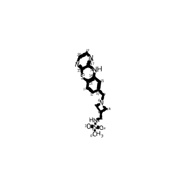 CS(=O)(=O)NCC1CN(Cc2ccc3c(c2)Nc2nccnc2S3)C1